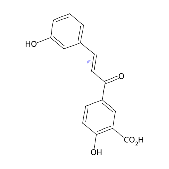 O=C(/C=C/c1cccc(O)c1)c1ccc(O)c(C(=O)O)c1